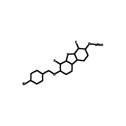 CCCCCOC1CCC2C3CCC(OCC4CCC(CC)CC4)C(F)C3SC2C1F